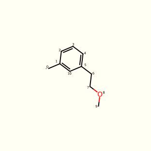 [CH2]c1cccc(CCOC)c1